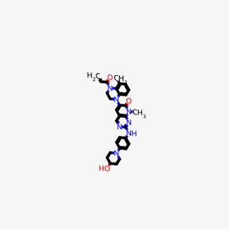 C=CC(=O)N1CCN(c2cc3cnc(Nc4ccc(N5CCC(O)CC5)cc4)nc3n(C)c2=O)c2cccc(C)c21